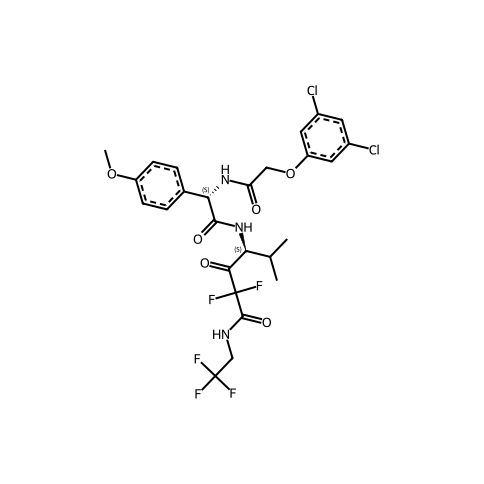 COc1ccc([C@H](NC(=O)COc2cc(Cl)cc(Cl)c2)C(=O)N[C@H](C(=O)C(F)(F)C(=O)NCC(F)(F)F)C(C)C)cc1